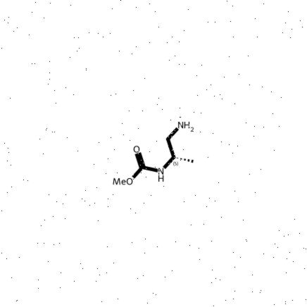 COC(=O)N[C@@H](C)CN